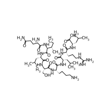 CC[C@H](C)[C@H](NC(=O)[C@@H](N)CCC(N)=O)C(=O)N[C@@H](CC(C)C)C(=O)N[C@@H](CO)C(=O)N[C@@H](CCCCN)C(=O)N[C@@H](CC(C)C)C(=O)N[C@@H](CCCNC(=N)N)C(=O)N[C@@H](CC(C)C)C(=O)O